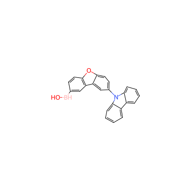 OBc1ccc2oc3ccc(-n4c5ccccc5c5ccccc54)cc3c2c1